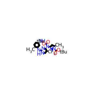 Cc1ccc(N)cc1Nc1ncc(C(F)(F)F)c(N(C(=O)OC(C)(C)C)c2cc(C)n(C(=O)OC(C)(C)C)n2)n1